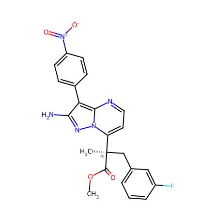 COC(=O)[C@](C)(Cc1cccc(F)c1)c1ccnc2c(-c3ccc([N+](=O)[O-])cc3)c(N)nn12